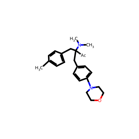 CC(=O)C(Cc1ccc(C)cc1)(Cc1ccc(N2CCOCC2)cc1)N(C)C